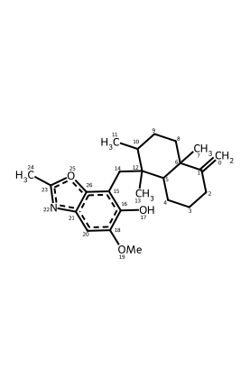 C=C1CCCC2C1(C)CCC(C)C2(C)Cc1c(O)c(OC)cc2nc(C)oc12